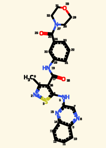 Cc1nsc(Nc2cnc3ccccc3n2)c1C(=O)Nc1cccc(C(=O)N2CCOCC2)c1